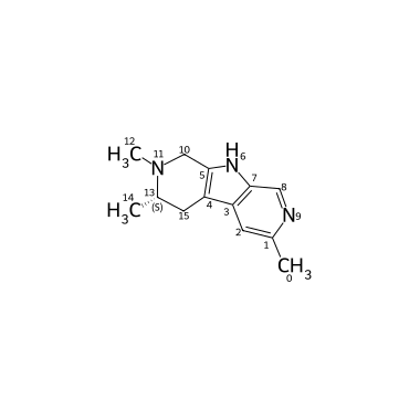 Cc1cc2c3c([nH]c2cn1)CN(C)[C@@H](C)C3